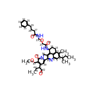 CCC(C)c1cc2nc3c(c4c2c(c1C)CCC4NC(=O)COCNC(=O)CCCc1ccccc1)Cn1c-3cc(C(C=O)CC)c(COC)c1=O